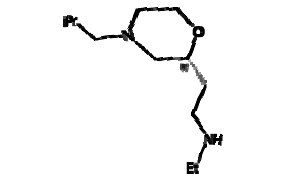 CCNCC[C@@H]1CN(CC(C)C)CCO1